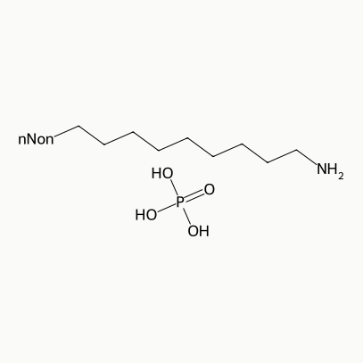 CCCCCCCCCCCCCCCCCCN.O=P(O)(O)O